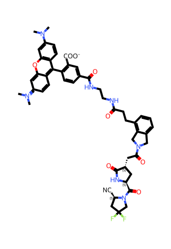 CN(C)c1ccc2c(-c3ccc(C(=O)NCCNC(=O)CCc4cccc5c4CN(C(=O)C[C@@H]4C[C@@H](C(=O)N6CC(F)(F)C[C@H]6C#N)NC4=O)C5)cc3C(=O)[O-])c3ccc(=[N+](C)C)cc-3oc2c1